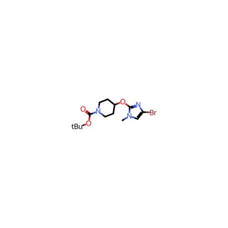 Cn1cc(Br)nc1OC1CCN(C(=O)OC(C)(C)C)CC1